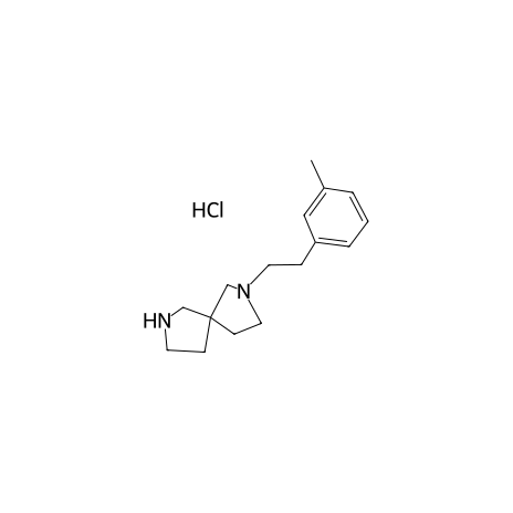 Cc1cccc(CCN2CCC3(CCNC3)C2)c1.Cl